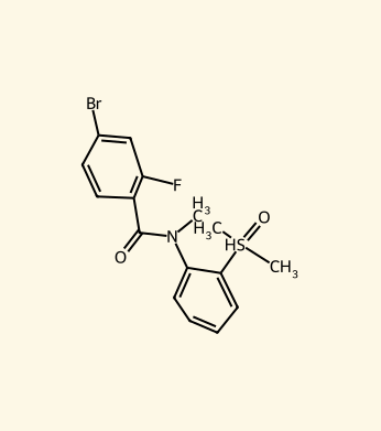 CN(C(=O)c1ccc(Br)cc1F)c1ccccc1[SH](C)(C)=O